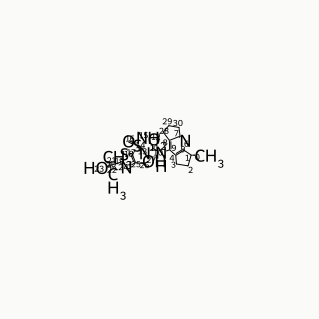 C[C@H]1CCc2c1nc1c(c2NC(=O)N=[S@](N)(=O)c2sc(C(C)(C)O)nc2CO)CCC1